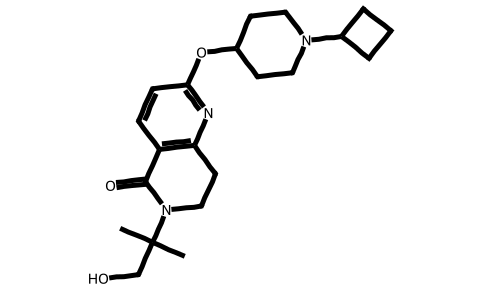 CC(C)(CO)N1CCc2nc(OC3CCN(C4CCC4)CC3)ccc2C1=O